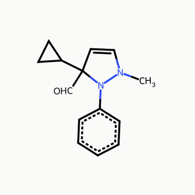 CN1C=CC(C=O)(C2CC2)N1c1ccccc1